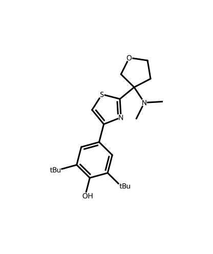 CN(C)C1(c2nc(-c3cc(C(C)(C)C)c(O)c(C(C)(C)C)c3)cs2)CCOC1